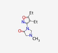 CCc1onc(N2CN(C)CC2=O)c1CC